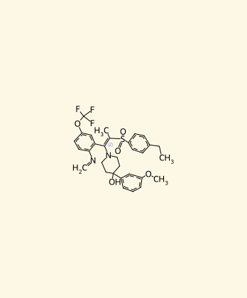 C=Nc1ccc(OC(F)(F)F)cc1/C(=C(\C)S(=O)(=O)c1ccc(CC)cc1)N1CCC(O)(c2cccc(OC)c2)CC1